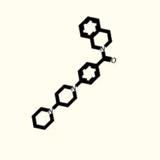 O=C(c1ccc(N2CCC(N3CCCCC3)CC2)cc1)N1CCc2ccccc2C1